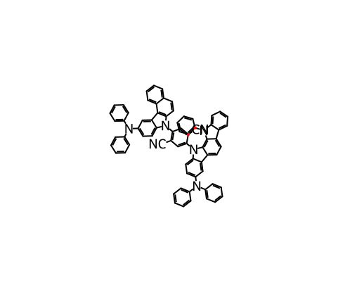 N#Cc1cc(-n2c3ccc(N(c4ccccc4)c4ccccc4)cc3c3ccc4c5ccccc5n(-c5ccccc5)c4c32)c(C#N)cc1-n1c2ccc(N(c3ccccc3)c3ccccc3)cc2c2c3ccccc3ccc21